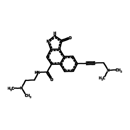 CN(C)CC#Cc1ccc2c(C(=O)NCCN(C)C)cc3n[nH]c(=O)n3c2c1